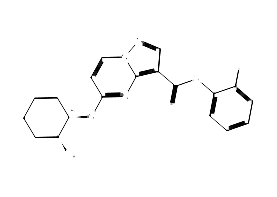 O=C(Nc1ccccc1Cl)c1cnn2ccc(N[C@@H]3CCCC[C@@H]3O)nc12